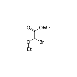 CCOC(Br)C(=O)OC